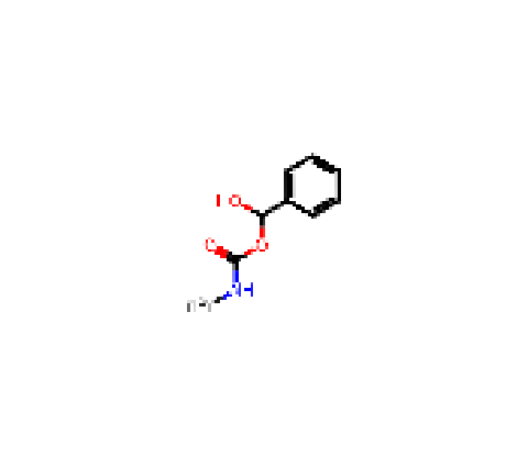 CCCNC(=O)OC(O)c1ccccc1